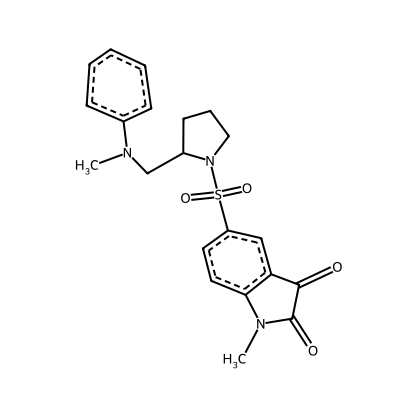 CN(CC1CCCN1S(=O)(=O)c1ccc2c(c1)C(=O)C(=O)N2C)c1ccccc1